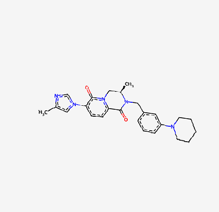 Cc1cn(-c2ccc3n(c2=O)C[C@@H](C)N(Cc2cccc(N4CCCCC4)c2)C3=O)cn1